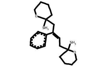 [SiH3]C1(CC=C(CC2([SiH3])CCCCO2)c2ccccc2)CCCCO1